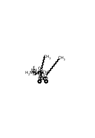 C#CC1(COP(=O)(NC(Cc2ccccc2)C(=O)OCCCCCCCCCCCCCCCC)Oc2ccccc2)OC(n2cnc3c(N)nc(F)nc32)CC1OC(=O)CCCCCCCCC